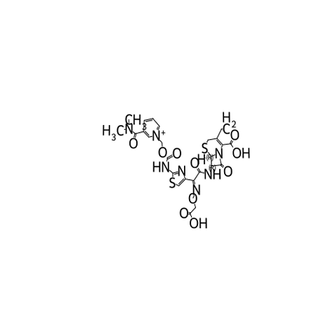 C=CC1=C(C(=O)O)N2C(=O)[C@@H](NC(=O)C(=NOCC(=O)O)c3csc(NC(=O)OC[n+]4cccc(C(=O)N(C)C)c4)n3)[C@H]2SC1